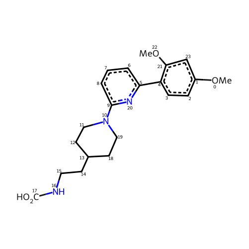 COc1ccc(-c2cccc(N3CCC(CCNC(=O)O)CC3)n2)c(OC)c1